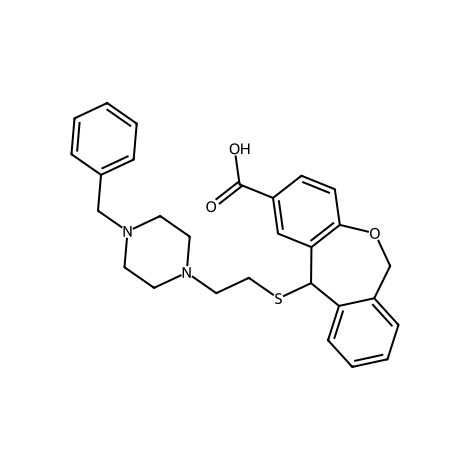 O=C(O)c1ccc2c(c1)C(SCCN1CCN(Cc3ccccc3)CC1)c1ccccc1CO2